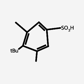 Cc1cc(S(=O)(=O)O)cc(C)c1C(C)(C)C